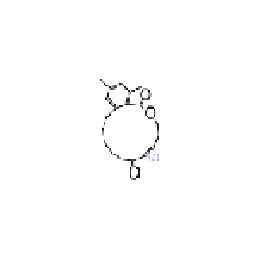 Cc1cc(C)c2c(c1)CCCCCC(=O)/C=C\CCOC2=O